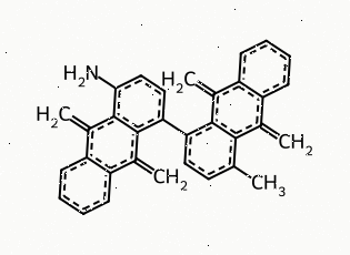 C=c1c2ccccc2c(=C)c2c(-c3ccc(N)c4c(=C)c5ccccc5c(=C)c34)ccc(C)c12